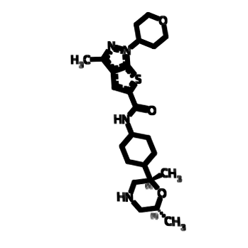 Cc1nn(C2CCOCC2)c2sc(C(=O)NC3CCC([C@@]4(C)CNC[C@@H](C)O4)CC3)cc12